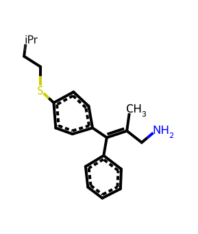 CC(CN)=C(c1ccccc1)c1ccc(SCCC(C)C)cc1